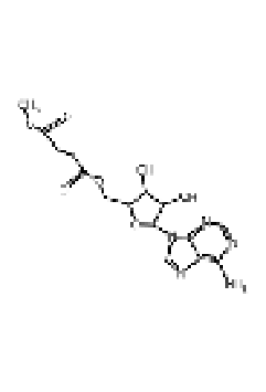 COC(=O)CCC(=O)OCC1OC(n2cnc3c(N)ncnc32)C(O)C1O